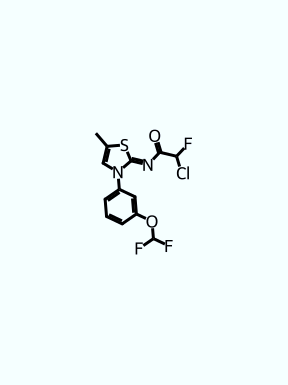 Cc1cn(-c2cccc(OC(F)F)c2)c(=NC(=O)C(F)Cl)s1